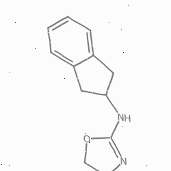 c1ccc2c(c1)CC(NC1=NCCO1)C2